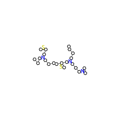 c1ccc(-c2ccccc2-c2cccc(N(c3ccc(-c4cccc(-c5ccc6cc(-c7ccc(-c8ccc(N(c9ccc(-c%10ccc(-c%11cccc(-n%12c%13ccccc%13c%13ccccc%13%12)c%11)cc%10)cc9)c9ccc(-c%10cccc(-c%11ccc%12ccccc%12c%11)c%10)cc9)cc8)c8c7sc7ccccc78)ccc6c5)c4)cc3)c3ccc(-c4cccc5sc6ccccc6c45)cc3)c2)cc1